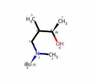 CC[C@H](C)N(C)CC(C)[C@@H](C)O